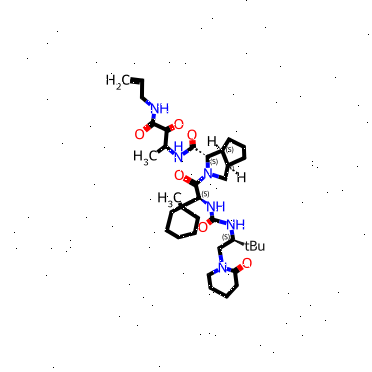 C=CCNC(=O)C(=O)C(C)NC(=O)[C@@H]1[C@H]2CCC[C@H]2CN1C(=O)[C@@H](NC(=O)N[C@H](CN1CCCCC1=O)C(C)(C)C)C1(C)CCCCC1